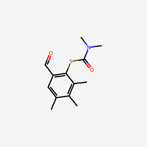 Cc1cc(C=O)c(SC(=O)N(C)C)c(C)c1C